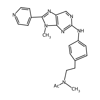 CC(=O)N(C)CCc1ccc(Nc2ncc3nc(-c4ccncc4)n(C)c3n2)cc1